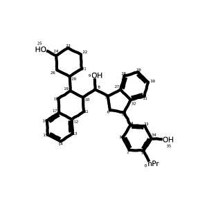 CCCc1ccc(C2CC(C(O)C3Cc4ccccc4CC3C3CCCC(O)C3)c3ccccc32)cc1O